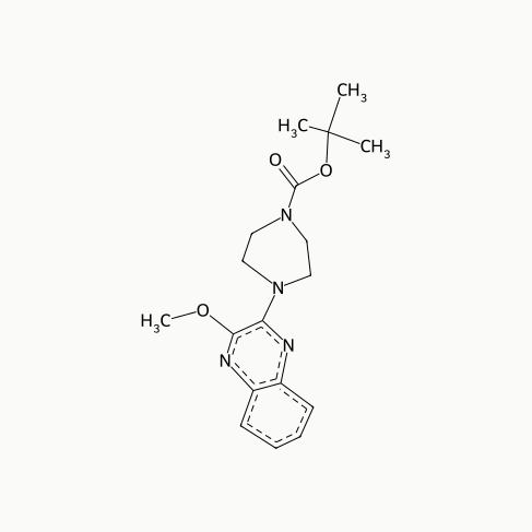 COc1nc2ccccc2nc1N1CCN(C(=O)OC(C)(C)C)CC1